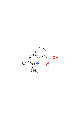 Cc1cc2c(nc1C)C(C(=O)O)CCC2